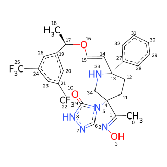 C/C(=N\O)[C@]1(n2cn[nH]c2=O)CC[C@@](/C=C/O[C@H](C)c2cc(C(F)(F)F)cc(C(F)(F)F)c2)(c2ccccc2)NC1